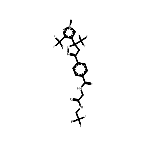 Cn1cc(C2(C(F)(F)F)CC(c3ccc(C(=O)NCC(=O)NCC(F)(F)F)cc3)=NO2)c(C(F)(F)F)n1